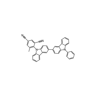 Cc1cc(C#N)cc(C#N)c1-n1c2ccccc2c2cc(-c3ccc4c(c3)c3ccccc3n4-c3ccccc3)ccc21